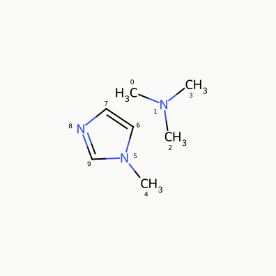 CN(C)C.Cn1ccnc1